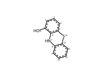 Oc1[c]ccc2c1Nc1ccccc1S2